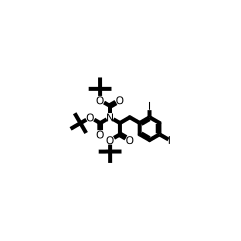 CC(C)(C)OC(=O)C(Cc1ccc(I)cc1I)N(C(=O)OC(C)(C)C)C(=O)OC(C)(C)C